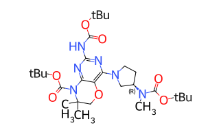 CN(C(=O)OC(C)(C)C)[C@@H]1CCN(c2nc(NC(=O)OC(C)(C)C)nc3c2OCC(C)(C)N3C(=O)OC(C)(C)C)C1